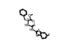 COC(=O)[C@H](Cc1ccccc1)NC(=S)Nc1nc2ccc(F)cc2s1